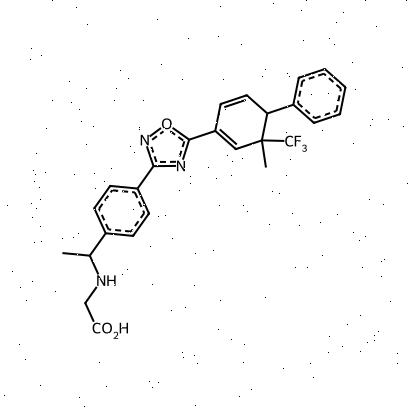 CC(NCC(=O)O)c1ccc(-c2noc(C3=CC(C)(C(F)(F)F)C(c4ccccc4)C=C3)n2)cc1